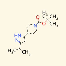 CC(C)c1cc(C2CCN(C(=O)OC(C)(C)C)CC2)[nH]n1